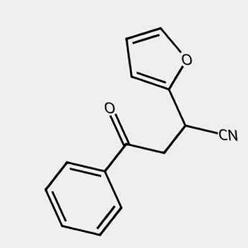 N#CC(CC(=O)c1ccccc1)c1ccco1